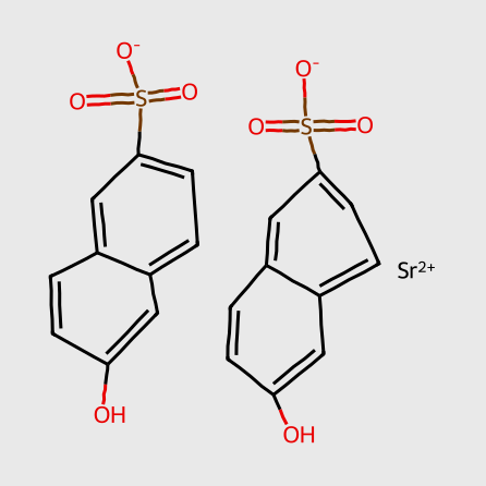 O=S(=O)([O-])c1ccc2cc(O)ccc2c1.O=S(=O)([O-])c1ccc2cc(O)ccc2c1.[Sr+2]